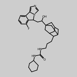 O=C(NCCCC1C2CC3CC1CC(C(O)CC1c4c(F)cccc4-c4cncn41)(C3)C2)NC1CCCCC1